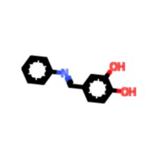 Oc1ccc(/C=N/c2ccccc2)cc1O